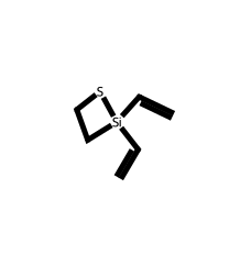 C=C[Si]1(C=C)CCS1